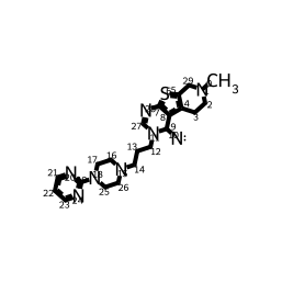 CN1CCc2c(sc3c2C([N])N(CCCN2CCN(c4ncccn4)CC2)C=N3)C1